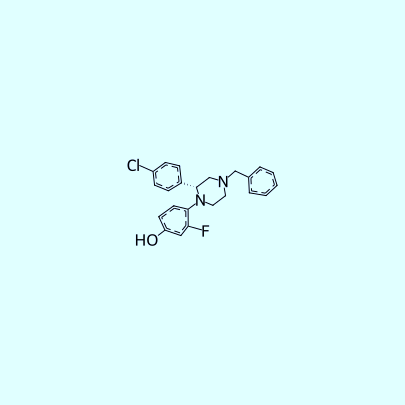 Oc1ccc(N2CCN(Cc3ccccc3)C[C@H]2c2ccc(Cl)cc2)c(F)c1